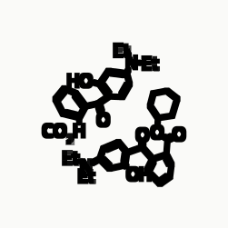 CCN(CC)c1ccc(C(=O)c2ccccc2C(=O)O)c(O)c1.CCN(CC)c1ccc(C(=O)c2ccccc2C(=O)OC2CCCCC2)c(O)c1